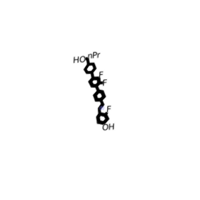 CCCC(O)C1CCC(c2ccc(-c3ccc(/C=C/c4ccc(O)cc4F)cc3)c(F)c2F)CC1